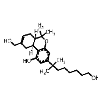 CC(C)(CCCCCCO)c1cc(O)c2c(c1)OC(C)(C)[C@H]1CC=C(CO)C[C@H]21